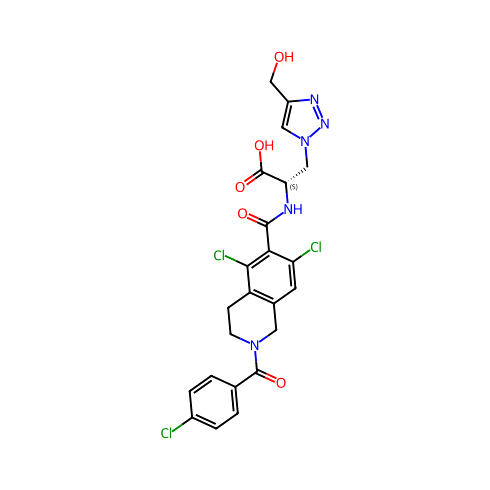 O=C(N[C@@H](Cn1cc(CO)nn1)C(=O)O)c1c(Cl)cc2c(c1Cl)CCN(C(=O)c1ccc(Cl)cc1)C2